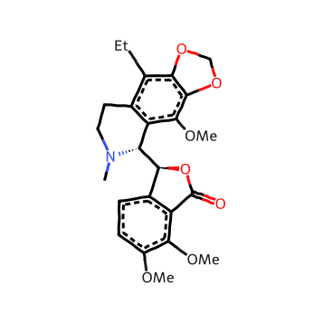 CCc1c2c(c(OC)c3c1OCO3)[C@H]([C@H]1OC(=O)c3c1ccc(OC)c3OC)N(C)CC2